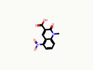 Cn1c(=O)c(C(=O)O)cc2c([N+](=O)[O-])cccc21